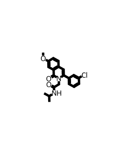 COc1ccc2cc(-c3cccc(Cl)c3)n(CC(=O)NC(C)C)c(=O)c2c1